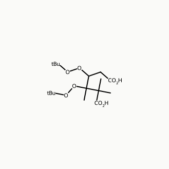 CC(C)(C)OOC(CC(=O)O)C(C)(OOC(C)(C)C)C(C)(C)C(=O)O